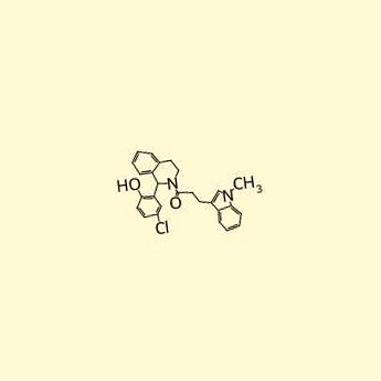 Cn1cc(CCC(=O)N2CCc3ccccc3C2c2cc(Cl)ccc2O)c2ccccc21